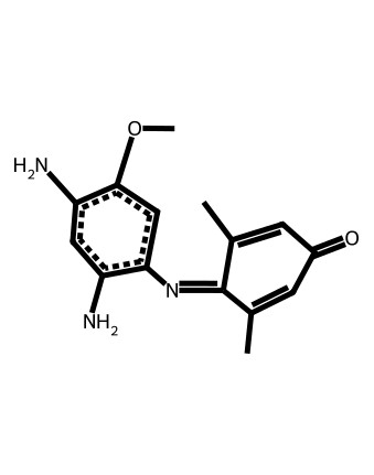 COc1cc(N=C2C(C)=CC(=O)C=C2C)c(N)cc1N